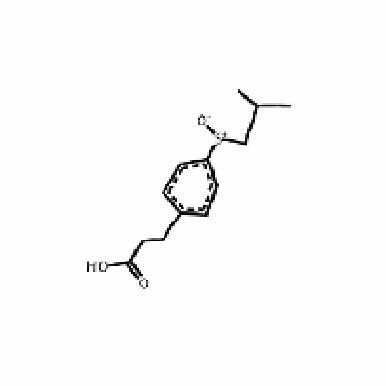 CC(C)C[S+]([O-])c1ccc(CCC(=O)O)cc1